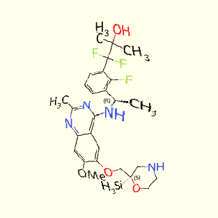 COc1cc2nc(C)nc(N[C@H](C)c3cccc(C(F)(F)C(C)(C)O)c3F)c2cc1OC[C@@]1([SiH3])CNCCO1